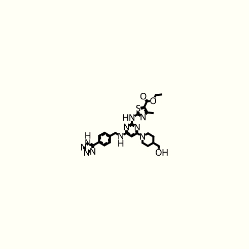 CCOC(=O)c1sc(Nc2nc(NCc3ccc(-c4nnn[nH]4)cc3)cc(N3CCC(CO)CC3)n2)nc1C